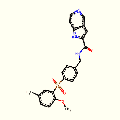 COc1ccc(C)cc1S(=O)(=O)c1ccc(CNC(=O)c2cc3cnccc3[nH]2)cc1